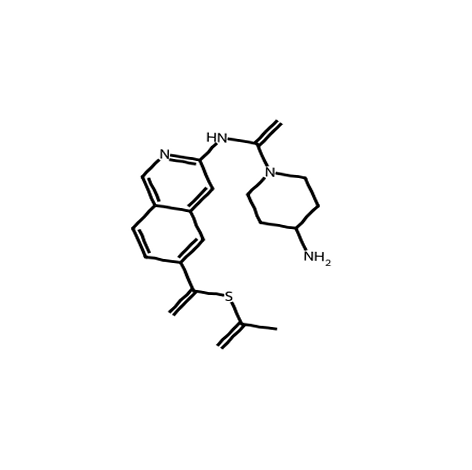 C=C(C)SC(=C)c1ccc2cnc(NC(=C)N3CCC(N)CC3)cc2c1